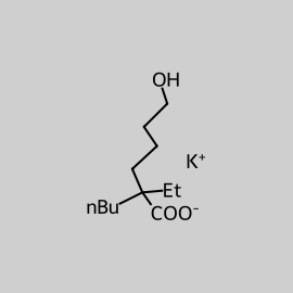 CCCCC(CC)(CCCCO)C(=O)[O-].[K+]